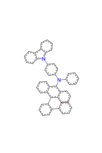 c1ccc(-c2ccccc2-c2c3ccccc3c(N(c3ccccc3)c3ccc(-n4c5ccccc5c5ccccc54)cc3)c3ccccc23)cc1